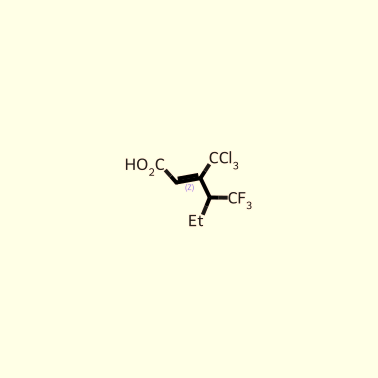 CCC(/C(=C/C(=O)O)C(Cl)(Cl)Cl)C(F)(F)F